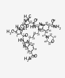 CCn1nc(C)cc1C(=O)Nc1nc2cc(C(N)=O)ccc2n1CC=CCn1c(NC(=O)c2oc(C)nc2C)nc2cc(C(N)=O)cc(CN3CCOCC3)c21